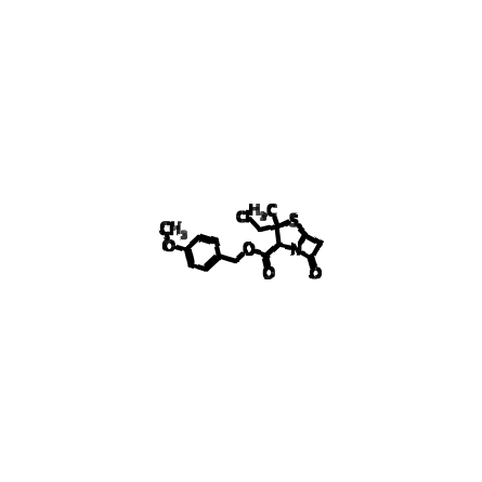 COc1ccc(COC(=O)C2N3C(=O)CC3SC2(C)CCl)cc1